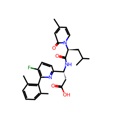 Cc1ccn([C@@H](CC(C)C)C(=O)N[C@H](CC(=O)O)c2ccc(F)c(-c3c(C)cccc3C)n2)c(=O)c1